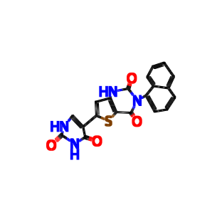 O=c1[nH]cc(-c2cc3[nH]c(=O)n(-c4cccc5ccccc45)c(=O)c3s2)c(=O)[nH]1